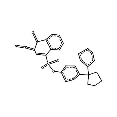 [N-]=[N+]=C1C=C(S(=O)(=O)Oc2ccc(C3(c4cc[c]cc4)CCCC3)cc2)c2ccccc2C1=O